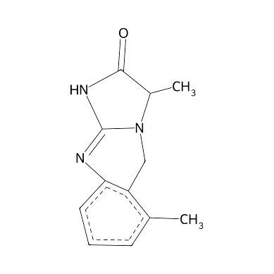 Cc1cccc2c1CN1C(=N2)NC(=O)C1C